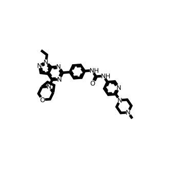 CCn1ncc2c(N3C4CCC3COC4)nc(-c3ccc(NC(=O)Nc4ccc(N5CCN(C)CC5)nc4)cc3)nc21